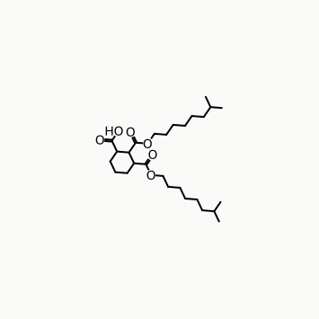 CC(C)CCCCCCOC(=O)C1CCCC(C(=O)O)C1C(=O)OCCCCCCC(C)C